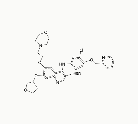 N#Cc1cnc2cc(OC3CCOC3)c(OCCN3CCOCC3)cc2c1Nc1ccc(OCc2ccccn2)c(Cl)c1